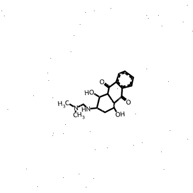 CN(C)CNC1CC(O)C2C(=O)c3ccccc3C(=O)C2C1O